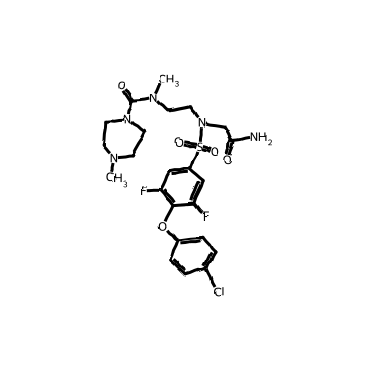 CN1CCN(C(=O)N(C)CCN(CC(N)=O)S(=O)(=O)c2cc(F)c(Oc3ccc(Cl)cc3)c(F)c2)CC1